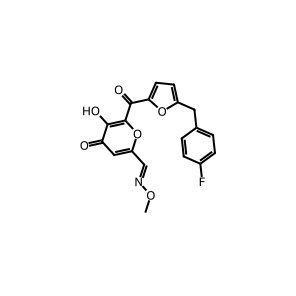 CO/N=C/c1cc(=O)c(O)c(C(=O)c2ccc(Cc3ccc(F)cc3)o2)o1